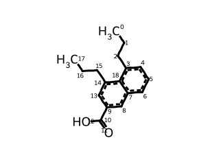 CCCc1cccc2cc(C(=O)O)cc(CCC)c12